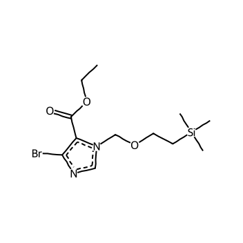 CCOC(=O)c1c(Br)ncn1COCC[Si](C)(C)C